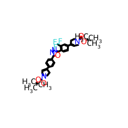 CC(C)(C)OC(=O)N1CC=C(c2ccc(-c3nnc(-c4ccc(C5=CCN(C(=O)OC(C)(C)C)CC5)cc4C(F)(F)F)o3)cc2)CC1